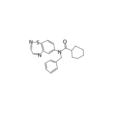 O=C(C1CCCCC1)N(Cc1ccccc1)c1ccc2c(c1)N=CC=NS2